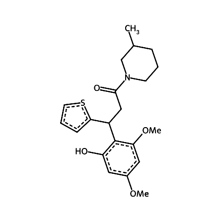 COc1cc(O)c(C(CC(=O)N2CCCC(C)C2)c2cccs2)c(OC)c1